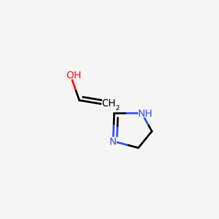 C1=NCCN1.C=CO